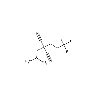 CC(C)CC(C#N)(C#N)CCC(F)(F)F